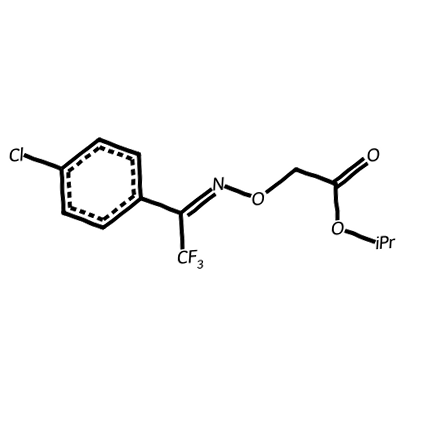 CC(C)OC(=O)CON=C(c1ccc(Cl)cc1)C(F)(F)F